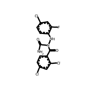 NC(=O)N(Nc1ccc(Cl)cc1F)C(=O)c1ccc(Cl)cc1Cl